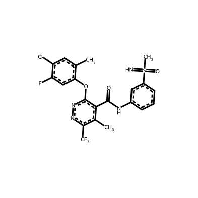 Cc1cc(Cl)c(F)cc1Oc1nnc(C(F)(F)F)c(C)c1C(=O)Nc1cccc(S(C)(=N)=O)c1